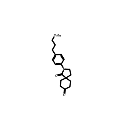 COCCCc1ccc(N2CCC3(CCC(=O)CC3)C2=O)cc1